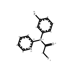 O=C(CF)N(c1cccc(F)c1)c1ccccn1